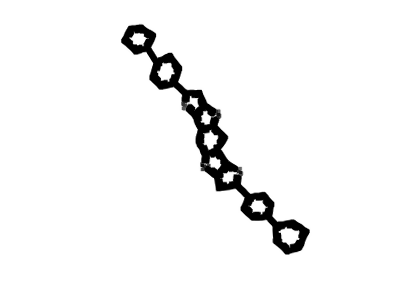 c1ccc(-c2ccc(-c3cc4sc5cc6c(cc5c4s3)sc3cc(-c4ccc(-c5ccccc5)cc4)sc36)cc2)cc1